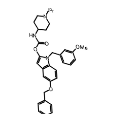 COc1cccc(Cn2c(OC(=O)NC3CCN(C(C)C)CC3)cc3cc(OCc4ccccc4)ccc32)c1